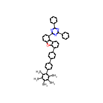 Bc1c(B)c(B)c(-c2ccc(-c3ccc(-c4cccc5c4oc4cccc(-c6nc(-c7ccccc7)nc(-c7ccccc7)n6)c45)cc3)cc2)c(B)c1B